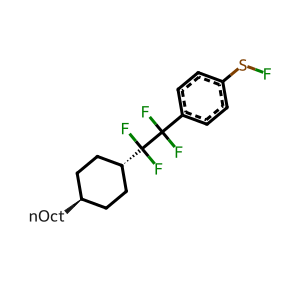 CCCCCCCC[C@H]1CC[C@H](C(F)(F)C(F)(F)c2ccc(SF)cc2)CC1